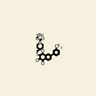 CC(C)(C)OC(=O)N1CCC2(CC1)CSC1=C(O2)c2cc(-c3cccc(C(F)(F)F)c3)ccc2C(=O)C1=O